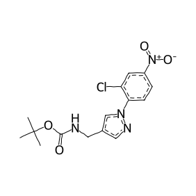 CC(C)(C)OC(=O)NCc1cnn(-c2ccc([N+](=O)[O-])cc2Cl)c1